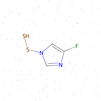 Fc1cn(SS)cn1